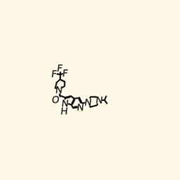 CC(C)N1CCN(c2cc3cc(C(=O)N4CCC(C(F)(F)F)CC4)[nH]c3cn2)CC1